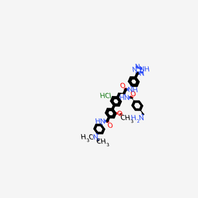 COc1cc(C(=O)NC2CCC(N(C)C)CC2)ccc1-c1ccc(C[C@H](NC(=O)[C@H]2CC[C@H](CN)CC2)C(=O)Nc2ccc(-c3nn[nH]n3)cc2)cc1.Cl